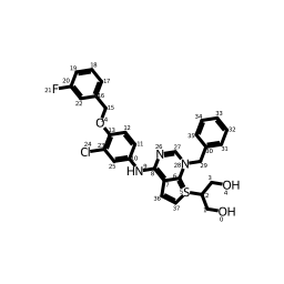 OCC(CO)S1=C2C(=C(Nc3ccc(OCc4cccc(F)c4)c(Cl)c3)N=CN2Cc2ccccc2)C=C1